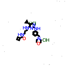 Cl.Cl.O=C(NCCCNc1nc(Nc2cccc(CN3CCOCC3)c2)ncc1C1CC1)C1CCC1